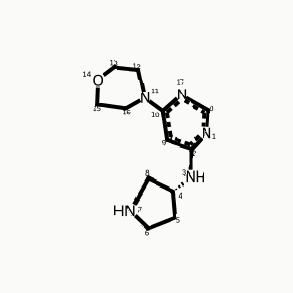 c1nc(N[C@@H]2CCNC2)cc(N2CCOCC2)n1